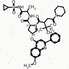 COc1ccc2c(O[C@@H]3C[C@@H](C(=O)NC(C)C(=O)NS(=O)(=O)C4CC4)N(C(=O)C(CC(=O)N4CCCCC4)C(C)(C)C)C3)cc(-c3ccccc3)nc2c1